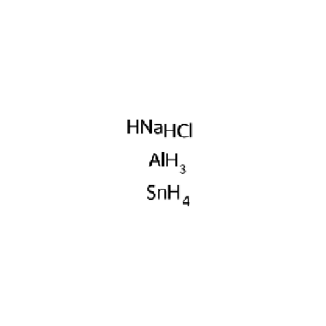 Cl.[AlH3].[NaH].[SnH4]